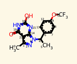 Cc1nn(C(C)c2ccc(OC(F)(F)F)cc2)c2nc(O)[nH]c(=O)c12